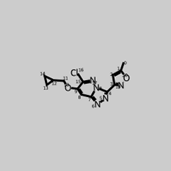 Cc1cc(-c2nnc3cc(OCC4CC4)c(Cl)nn23)no1